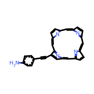 Nc1ccc(C#CC2=CC3=CC4=NC(=CC5=NC(=CC6=NC(=CC2=N3)C=C6)C=C5)C=C4)cc1